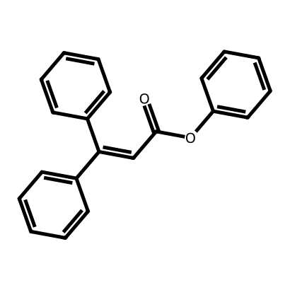 O=C(C=C(c1ccccc1)c1ccccc1)Oc1ccccc1